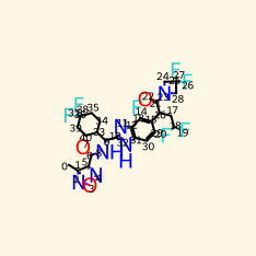 Cc1nonc1C(=O)N[C@H](c1nc2c(F)c(C(CC(F)F)C(=O)N3CC(F)(F)C3)ccc2[nH]1)C1CCC(F)(F)CC1